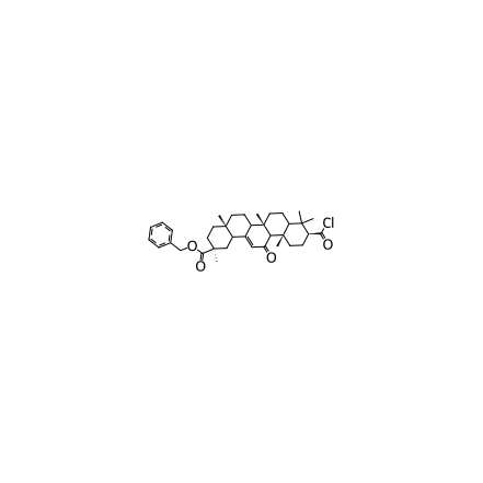 CC1(C)C2CC[C@@]3(C)C4CC[C@@]5(C)CC[C@](C)(C(=O)OCc6ccccc6)CC5C4=CC(=O)C3[C@@]2(C)CC[C@@H]1C(=O)Cl